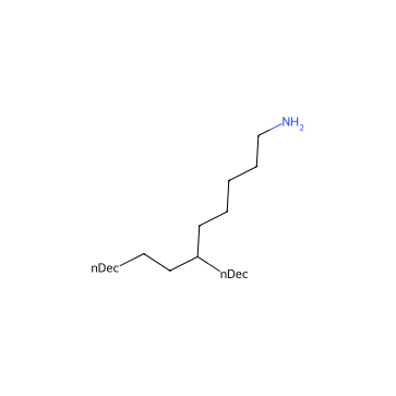 CCCCCCCCCCCCC(CCCCCN)CCCCCCCCCC